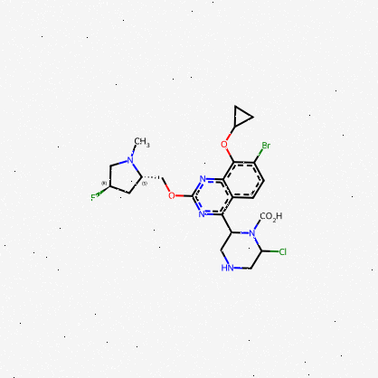 CN1C[C@H](F)C[C@H]1COc1nc(C2CNCC(Cl)N2C(=O)O)c2ccc(Br)c(OC3CC3)c2n1